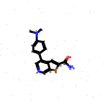 CN(C)c1ccc(-c2cncc3sc(C(N)=O)cc23)cc1